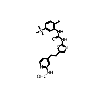 C[Si](C)(C)c1ccc(F)c(NC(=O)Nc2ncc(CCc3ccnc(NC=O)c3)s2)c1